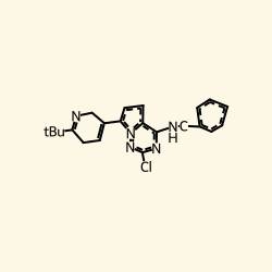 CC(C)(C)C1=NCC(c2ccc3c(NCc4ccccc4)nc(Cl)nn23)=CC1